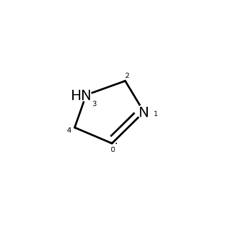 [C]1=NCNC1